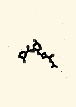 CC(C)COC(=O)N1CC(Oc2ncc(Cl)cc2NC(=O)c2ccnc(Cl)c2)C1